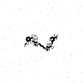 CC(NC(=O)c1cn(CCCCn2cc(C(=O)NCc3cc(C(F)(F)F)ccn3)nn2)nn1)c1cccc(OCF)c1